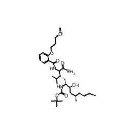 CCCC[C@@H](C)C[C@H](O)[C@H](C[C@H](C(C)C)C(NC(=O)c1ccccc1OCCCOC)C(N)=O)NC(=O)OC(C)(C)C